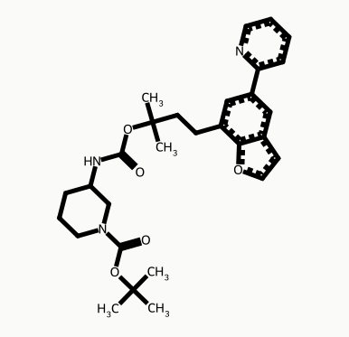 CC(C)(C)OC(=O)N1CCCC(NC(=O)OC(C)(C)CCc2cc(-c3ccccn3)cc3ccoc23)C1